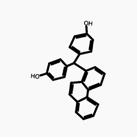 Oc1ccc(C(c2ccc(O)cc2)c2cccc3c2ccc2ccccc23)cc1